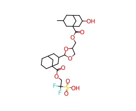 CC1CC2CC(O)CC(C(=O)OCC3COC(C4CC5CCCC(C(=O)OCC(F)(F)S(=O)(=O)O)(C5)C4)O3)(C1)C2